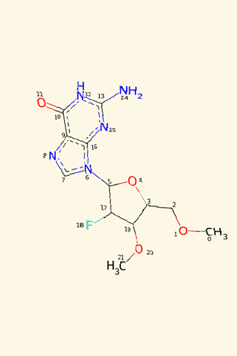 COCC1OC(n2cnc3c(=O)[nH]c(N)nc32)C(F)C1OC